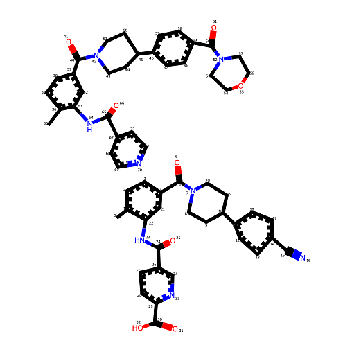 Cc1ccc(C(=O)N2CCC(c3ccc(C#N)cc3)CC2)cc1NC(=O)c1ccc(C(=O)O)nc1.Cc1ccc(C(=O)N2CCC(c3ccc(C(=O)N4CCOCC4)cc3)CC2)cc1NC(=O)c1ccncc1